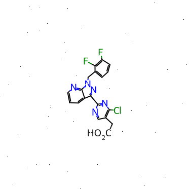 O=C(O)Cc1cnc(-c2nn(Cc3cccc(F)c3F)c3ncccc23)nc1Cl